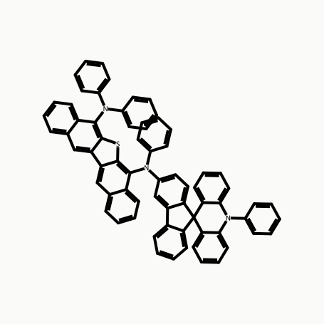 c1ccc(N2c3ccccc3C3(c4ccccc4-c4cc(N(c5ccccc5)c5c6ccccc6cc6c5sc5c(N(c7ccccc7)c7ccccc7)c7ccccc7cc56)ccc43)c3ccccc32)cc1